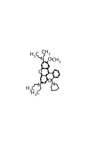 CCN(CC)c1cc2oc3cc(=[N+](CC)CC)ccc-3c(-c3ccccc3C(=O)N3CCCCC3)c2cc1OC